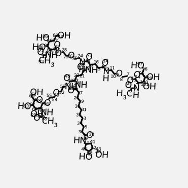 CC(=O)NC1C(OCCOCCNC(=O)CCC(NC(=O)CCC(NC(=O)CCCCCCCCCCC(=O)N[C@H]2C[C@H](CO)[C@@H](O)C2)C(=O)NCCOCCOC2OC(CO)C(O)C(O)C2NC(C)=O)C(=O)NCCOCCOC2OC(CO)C(O)C(O)C2NC(C)=O)OC(CO)C(O)C1O